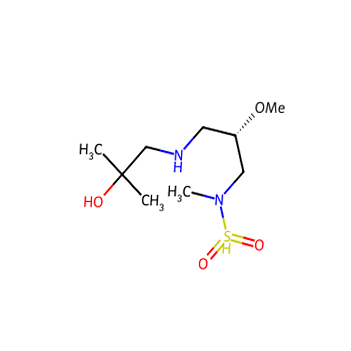 CO[C@@H](CNCC(C)(C)O)CN(C)[SH](=O)=O